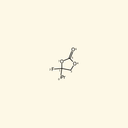 CC(C)C1(F)COC(=O)O1